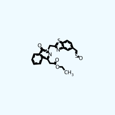 CCOC(=O)Cc1nn(Cc2nc3cc(C=S=O)ccc3s2)c(=O)c2ccccc12